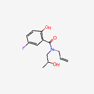 C=CCN(CC(C)O)C(=O)c1cc(I)ccc1O